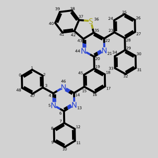 c1ccc(-c2nc(-c3ccccc3)nc(-c3cccc(-c4nc(-c5ccccc5-c5ccccc5)c5sc6ccccc6c5n4)c3)n2)cc1